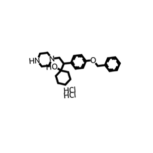 Cl.Cl.OC1(C(CN2CCNCC2)c2ccc(OCc3ccccc3)cc2)CCCCC1